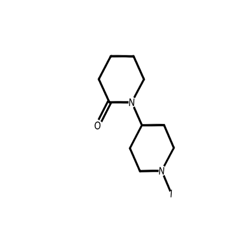 O=C1CCCCN1C1CCN(I)CC1